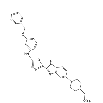 O=C(O)CC1CCC(c2ccc3[nH]c(-c4nnc(Nc5cccc(OCc6ccccc6)c5)o4)nc3c2)CC1